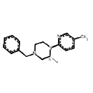 C[C@@H]1CN(Cc2ccccc2)CCN1c1ccc(C(F)(F)F)cn1